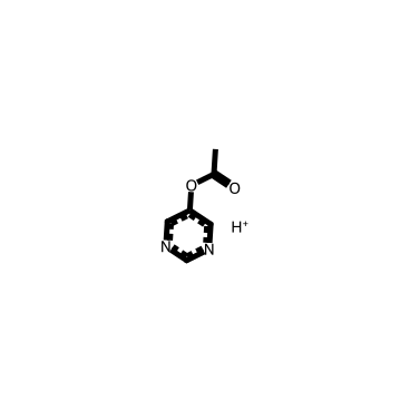 CC(=O)Oc1cncnc1.[H+]